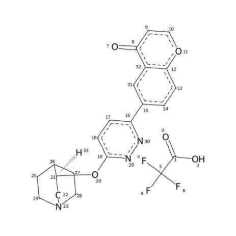 O=C(O)C(F)(F)F.O=c1ccoc2ccc(-c3ccc(O[C@H]4CN5CCC4CC5)nn3)cc12